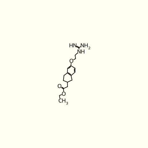 CCOC(=O)CC1CCc2cc(OCCNC(=N)N)ccc2C1